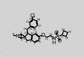 CN1C2C1C21Cc2ccc(OCCNS(=O)(=O)C3CCC3)cc2C1Cc1cccc(Cl)c1